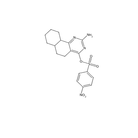 Nc1nc(OS(=O)(=O)c2ccc([N+](=O)[O-])cc2)c2c(n1)C1CCCCC1CC2